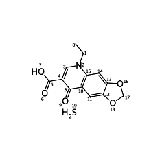 CCn1cc(C(=O)O)c(=O)c2cc3c(cc21)OCO3.S